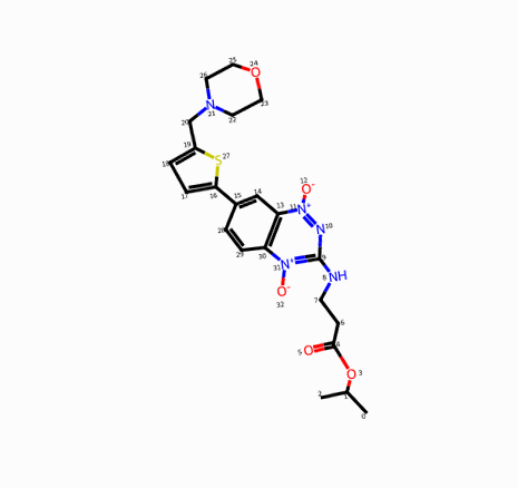 CC(C)OC(=O)CCNc1n[n+]([O-])c2cc(-c3ccc(CN4CCOCC4)s3)ccc2[n+]1[O-]